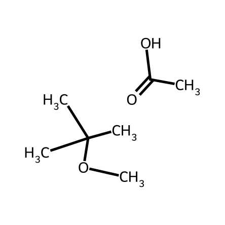 CC(=O)O.COC(C)(C)C